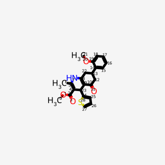 COC(=O)C1=C(C)NC2=C(C(=O)CC(c3ccccc3OC)C2)C1c1cccs1